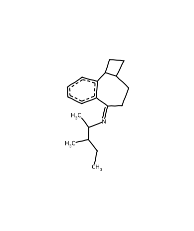 CCC(C)C(C)/N=C1/CCC2CCC2c2ccccc21